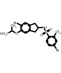 CC(Oc1cc2c(cc1Br)CC(NS(=O)(=O)c1ccc(Br)cc1C(F)(F)F)C2)C(=O)O